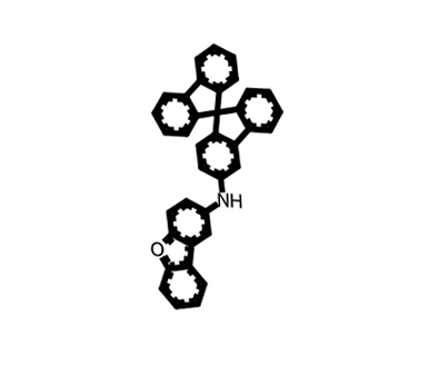 c1ccc2c(c1)-c1ccccc1C21c2ccccc2-c2cc(Nc3ccc4oc5ccccc5c4c3)ccc21